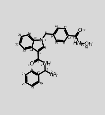 CCCC(NC(=O)c1cn(Cc2ccc(C(=O)NO)cc2)c2ccccc12)c1ccccc1